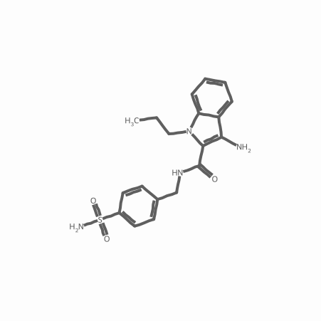 CCCn1c(C(=O)NCc2ccc(S(N)(=O)=O)cc2)c(N)c2ccccc21